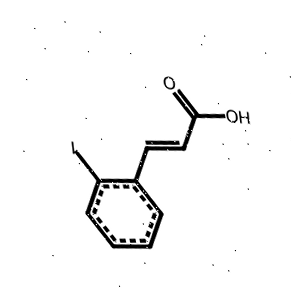 O=C(O)C=Cc1ccccc1I